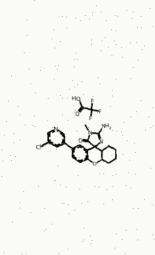 CN1C(=O)C2(N=C1N)c1cc(-c3cncc(Cl)c3)ccc1OC1CCCCC12.O=C(O)C(F)(F)F